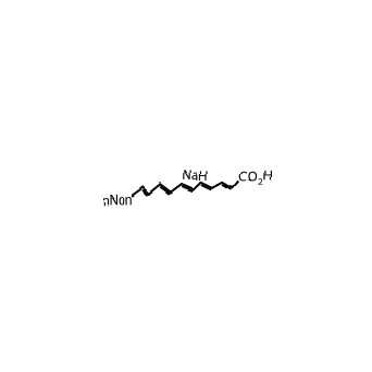 CCCCCCCCC/C=C/C=C/C=C/C=C/C=C/C(=O)O.[NaH]